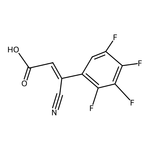 N#CC(=CC(=O)O)c1cc(F)c(F)c(F)c1F